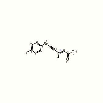 C/C(C#C[Se]c1ccc(C)cc1)=C\C(=O)O